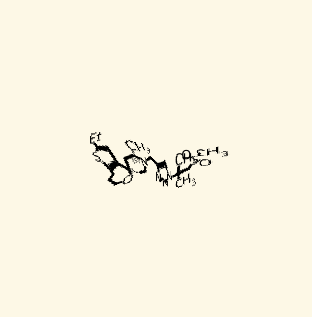 CCc1cc2c(s1)CCO[C@@]21CCN(Cc2cn(C(C)(C)CS(C)(=O)=O)nn2)[C@@H](C)C1